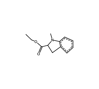 CCOC(=O)C1Cc2ccccc2N1C